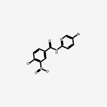 O=C(Nc1ccc(Br)cn1)c1ccc(Cl)c([N+](=O)[O-])c1